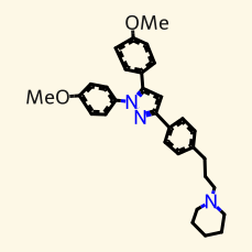 COc1ccc(-c2cc(-c3ccc(CCCN4CCCCC4)cc3)nn2-c2ccc(OC)cc2)cc1